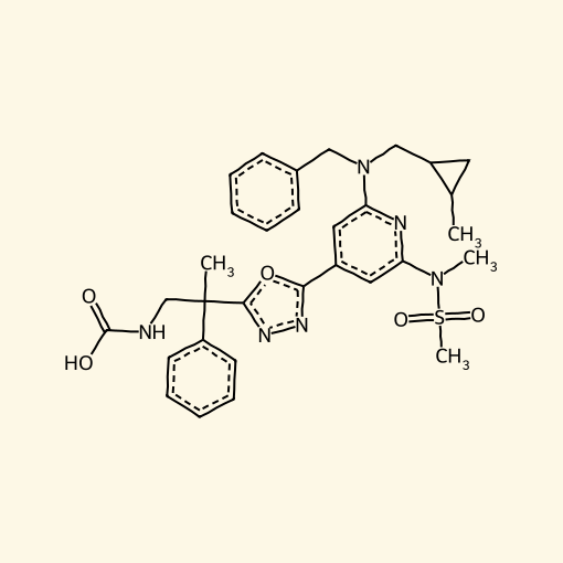 CC1CC1CN(Cc1ccccc1)c1cc(-c2nnc(C(C)(CNC(=O)O)c3ccccc3)o2)cc(N(C)S(C)(=O)=O)n1